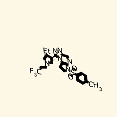 CC[C@@H]1CN(CCC(F)(F)F)C[C@@H]1c1nnc2cnc3c(ccn3S(=O)(=O)c3ccc(C)cc3)n12